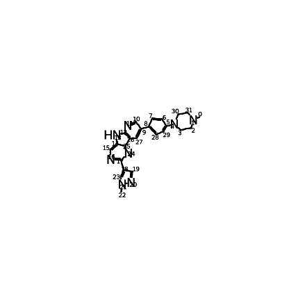 CN1CCN(c2ccc(-c3cnc4[nH]c5cnc(-c6cnn(C)c6)nc5c4c3)cc2)CC1